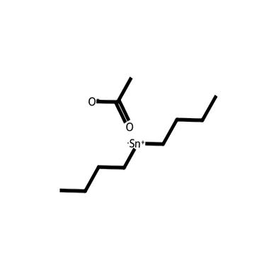 CC(=O)[O-].CCC[CH2][Sn+][CH2]CCC